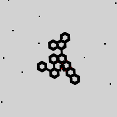 c1ccc(-c2ccccc2-c2c(-c3ccccc3)cccc2N(c2ccc(-c3cc4ccccc4c4ccccc34)cc2)c2ccc3ccccc3c2)cc1